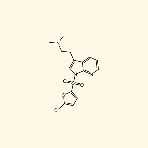 CN(C)CCc1cn(S(=O)(=O)c2ccc(Cl)s2)c2ncccc12